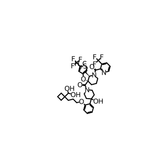 CCC[C@H]1N(C(=O)c2ncccc2C(F)(F)F)CCC[C@@]1(Oc1csc(C(F)(F)F)c1)C(=O)N1CCC(O)(c2ccccc2OCCCC2(C(O)O)CCC2)CC1